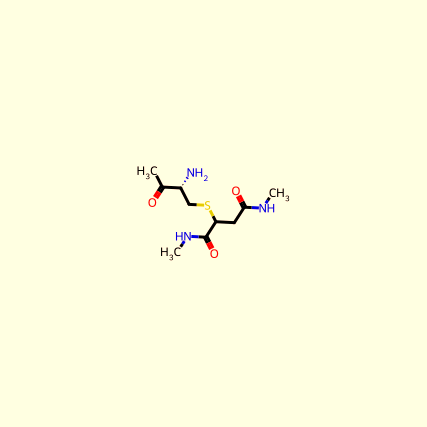 CNC(=O)CC(SC[C@@H](N)C(C)=O)C(=O)NC